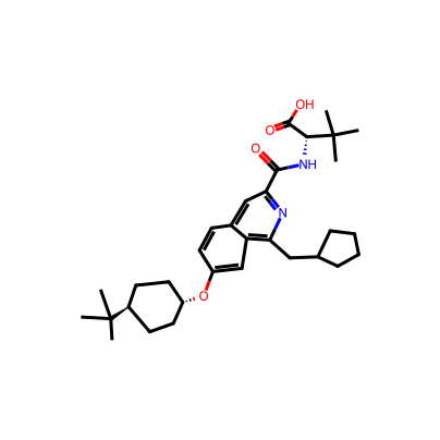 CC(C)(C)[C@H](NC(=O)c1cc2ccc(O[C@H]3CC[C@H](C(C)(C)C)CC3)cc2c(CC2CCCC2)n1)C(=O)O